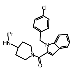 CC(C)NC1CCN(C(=O)c2cc3ccccc3n2Cc2ccc(Cl)cc2)CC1